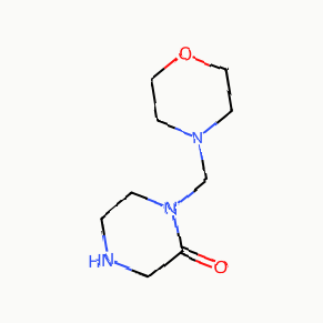 O=C1CNCCN1CN1CCOCC1